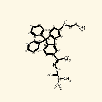 CN(C)C(=O)O/N=C(/c1ccc2c(c1)-c1cc(OCCO)ccc1C2(c1ccccc1)c1ccccc1)C(F)(F)F